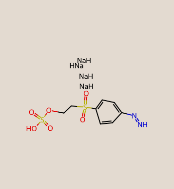 N=Nc1ccc(S(=O)(=O)CCOS(=O)(=O)O)cc1.[NaH].[NaH].[NaH].[NaH]